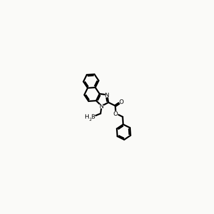 BCn1c(C(=O)OCc2ccccc2)nc2c3ccccc3ccc21